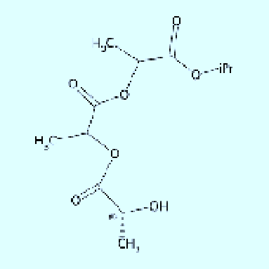 CC(C)OC(=O)C(C)OC(=O)C(C)OC(=O)[C@@H](C)O